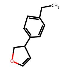 CCc1ccc(C2C=COC2)cc1